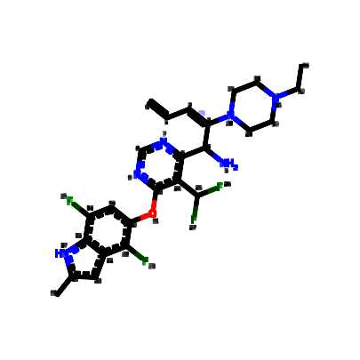 C=C/C=C(\C(N)c1ncnc(Oc2cc(F)c3[nH]c(C)cc3c2F)c1C(F)F)N1CCN(CC)CC1